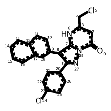 O=c1cc(CCl)[nH]c2c(-c3ccc4ccccc4c3)c(-c3ccc(Cl)cc3)nn12